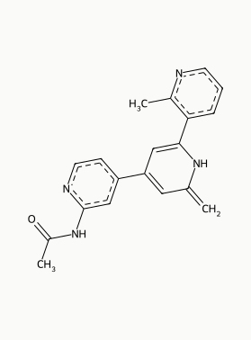 C=C1C=C(c2ccnc(NC(C)=O)c2)C=C(c2cccnc2C)N1